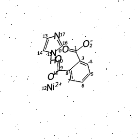 O=C([O-])c1ccccc1C(=O)[O-].[Ni+2].c1c[nH]cn1